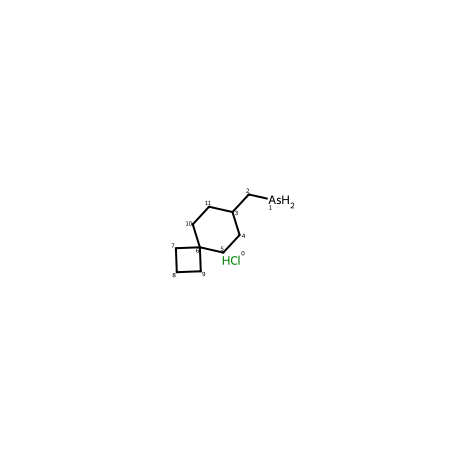 Cl.[AsH2]CC1CCC2(CCC2)CC1